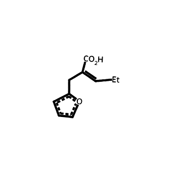 CCC=C(Cc1ccco1)C(=O)O